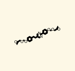 c1cc(OCOCC2CO2)ccc1CCc1cnc(-c2ccc(OCOCC3CO3)cc2)nc1